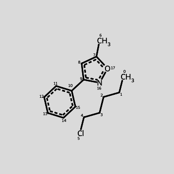 CCCCCCl.Cc1cc(-c2ccccc2)no1